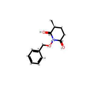 C[C@H]1CCC(=O)N(OCc2ccccc2)C1=O